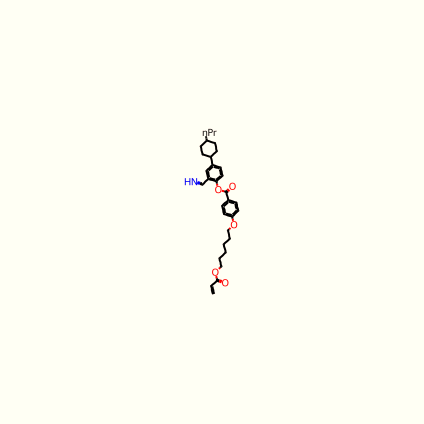 C=CC(=O)OCCCCCCOc1ccc(C(=O)Oc2ccc(C3CCC(CCC)CC3)cc2C=N)cc1